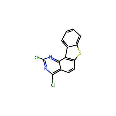 Clc1nc(Cl)c2ccc3sc4ccccc4c3c2n1